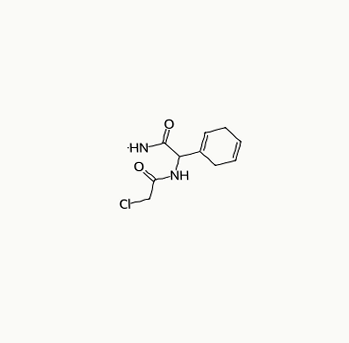 [NH]C(=O)C(NC(=O)CCl)C1=CCC=CC1